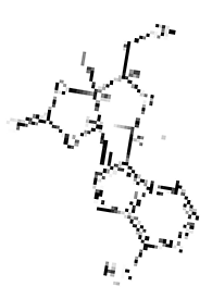 C[C@@]1(c2ccc3c(N)ncnn23)O[C@H](CO)[C@H]2OC(=O)O[C@H]21